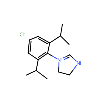 CC(C)c1cccc(C(C)C)c1[N+]1=CNCC1.[Cl-]